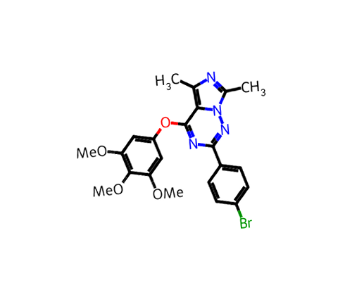 COc1cc(Oc2nc(-c3ccc(Br)cc3)nn3c(C)nc(C)c23)cc(OC)c1OC